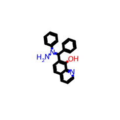 NN(c1ccccc1)C(c1ccccc1)c1ccc2cccnc2c1O